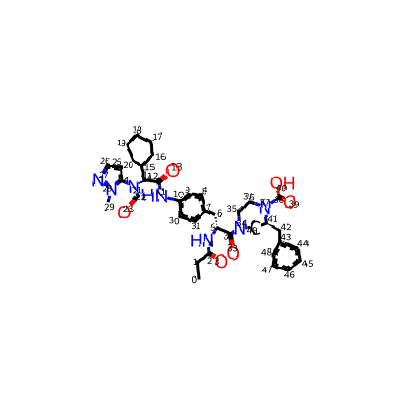 CCC(=O)N[C@H](Cc1ccc(NC(=O)[C@H](C2CCCCC2)N(C=O)c2ccnn2C)cc1)C(=O)N1CCN(C(=O)O)[C@@H](Cc2ccccc2)C1